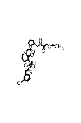 CCOCC(=O)NC[C@@H]1CCCN1C(=O)CN1CCCC(NS(=O)(=O)c2cc3cc(Cl)ccc3s2)C1=O